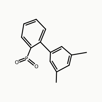 Cc1cc(C)cc(-c2ccccc2P(=O)=O)c1